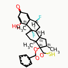 C[C@@H]1C[C@H]2[C@@H]3C[C@H](F)C4=CC(=O)C=C(O)[C@]4(C)[C@@]3(F)CC[C@]2(C)[C@@]1(OC(=O)c1ccccc1)C(=O)S